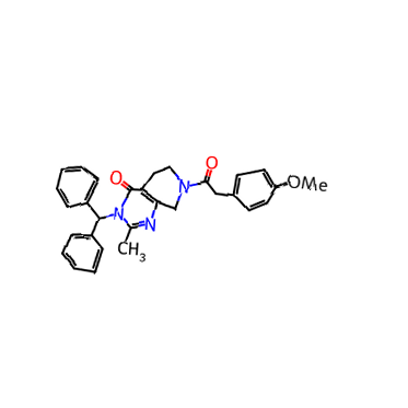 COc1ccc(CC(=O)N2CCc3c(nc(C)n(C(c4ccccc4)c4ccccc4)c3=O)C2)cc1